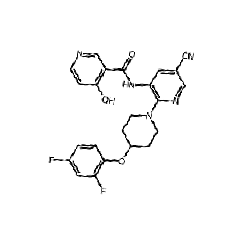 N#Cc1cnc(N2CCC(Oc3ccc(F)cc3F)CC2)c(NC(=O)c2cnccc2O)c1